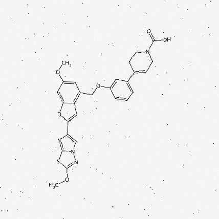 COc1cc(COc2cccc(C3=CCN(C(=O)O)CC3)c2)c2cc(-c3cn4nc(OC)sc4n3)oc2c1